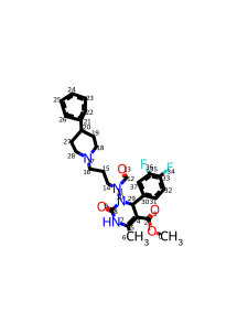 COC(=O)C1=C(C)NC(=O)N(N(C=O)CCCN2CCC(c3ccccc3)CC2)C1c1ccc(F)c(F)c1